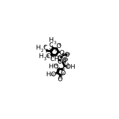 C=CC1=C(C)C(=O)C(OP(=O)(OC)OCC(O)[C@H]2OC(=O)C(O)=C2O)CC1(C)C